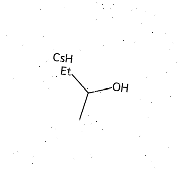 CCC(C)O.[CsH]